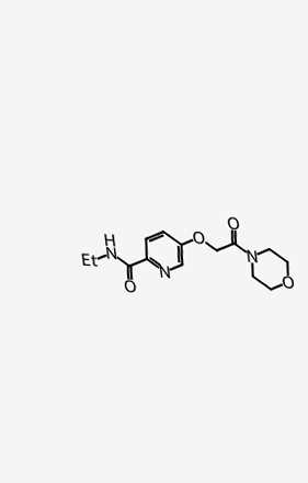 CCNC(=O)c1ccc(OCC(=O)N2CCOCC2)cn1